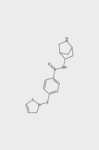 O=C(NC1CC2CC1CN2)c1ccc(SN2CC=CS2)cc1